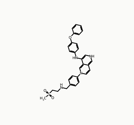 CS(=O)(=O)CCNCc1ccc(N2C=CC3=CNC=C(Nc4ccc(Oc5ccccc5)cc4)C3=C2)cc1